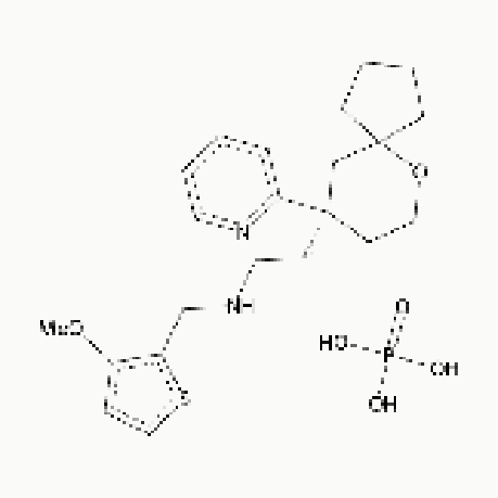 COc1ccsc1CNCC[C@@]1(c2ccccn2)CCOC2(CCCC2)C1.O=P(O)(O)O